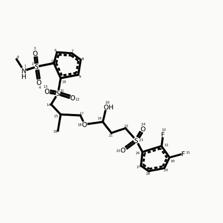 CNS(=O)(=O)c1ccccc1S(=O)(=O)CC(C)COC(O)CCS(=O)(=O)c1cccc(F)c1F